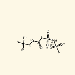 CC(F)(F)COC(=O)CS(=O)(=O)NS(C)(=O)=O